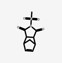 CS(=O)(=O)N1C(=O)C2C3C=CC(C3)C2C1=O